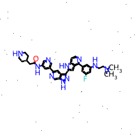 CN(C)CCNc1cc(F)cc(-c2nccc3[nH]c(-c4n[nH]c5cnc(-c6cncc(NC(=O)CC7CCNCC7)c6)cc45)cc23)c1